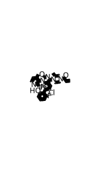 C=CC(=O)N1CCN(c2nc(=O)n(-c3c(C)ccnc3C(C)C)c3nc(-c4c(O)cccc4F)c(Cl)cc23)C(C)C1